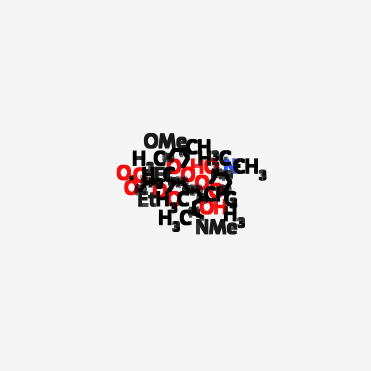 CC[C@H]1OC(=O)O[C@@H]1[C@@H](CC)OC(=O)[C@H](C)[C@@H](OC1C[C@@](C)(OC)C[C@H](C)O1)[C@H](C)[C@@H](OC1O[C@H](C)C[C@H](N(C)C)[C@H]1O)[C@](C)(O)C[C@@H](C)CNC